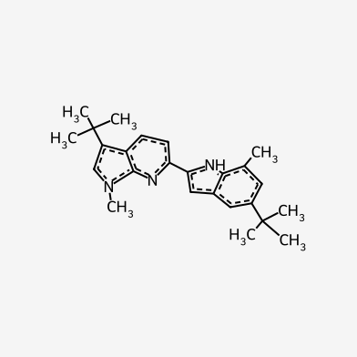 Cc1cc(C(C)(C)C)cc2cc(-c3ccc4c(C(C)(C)C)cn(C)c4n3)[nH]c12